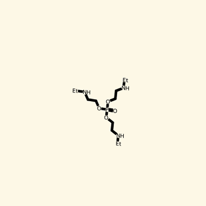 CCNCCOP(=O)(OCCNCC)OCCNCC